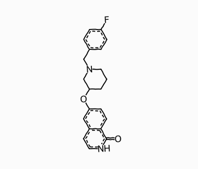 O=c1[nH]ccc2cc(OC3CCCN(Cc4ccc(F)cc4)C3)ccc12